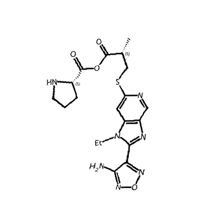 CCn1c(-c2nonc2N)nc2cnc(SC[C@@H](C)C(=O)OC(=O)[C@@H]3CCCN3)cc21